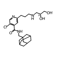 O=C(NCC12CC3CC(CC(C3)C1)C2)c1cc(CCCNC[C@H](O)CO)ncc1Cl